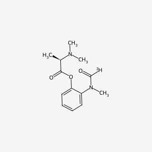 [2H]C(=O)N(C)c1ccccc1OC(=O)[C@@H](C)N(C)C